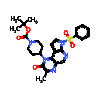 Cc1nc2cnc3c(ccn3S(=O)(=O)c3ccccc3)c2n(C2CCN(C(=O)OC(C)(C)C)CC2)c1=O